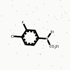 CCOC(=O)N(CC)c1ccc(Cl)c(F)c1